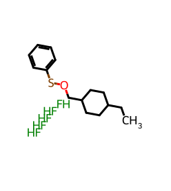 CCC1CCC(COSc2ccccc2)CC1.F.F.F.F.F